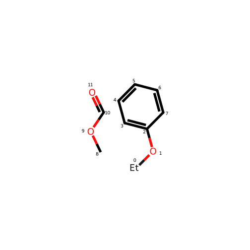 CCOc1ccccc1.COC=O